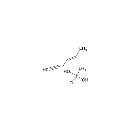 C#CCC=CC.CP(=O)(O)O